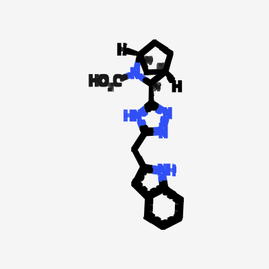 O=C(O)N1[C@@H]2CC[C@@H](C2)[C@H]1c1nnc(Cc2cc3ccccc3[nH]2)[nH]1